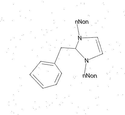 CCCCCCCCCN1C=CN(CCCCCCCCC)C1Cc1ccccc1